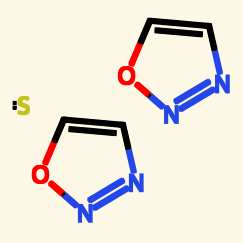 [S].c1conn1.c1conn1